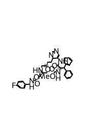 COC(=O)N[C@H](C(=O)Nc1cncnc1CC[C@@H]1CN[C@H](COC(=O)NCc2ccc(F)cc2)CO1)C(c1ccccc1)c1ccccc1